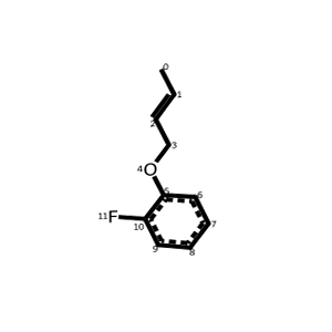 C/C=C/COc1ccccc1F